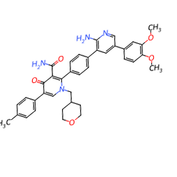 COc1ccc(-c2cnc(N)c(-c3ccc(-c4c(C(N)=O)c(=O)c(-c5ccc(C)cc5)cn4CC4CCOCC4)cc3)c2)cc1OC